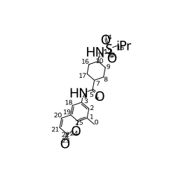 Cc1cc(NC(=O)C2CCC(NS(=O)(=O)C(C)C)CC2)cc2ccc(=O)oc12